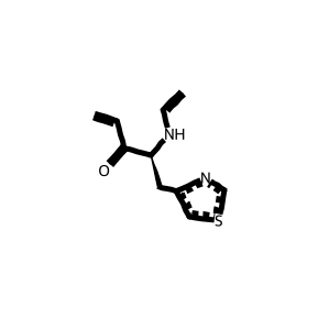 C=CN[C@@H](Cc1cscn1)C(=O)C=C